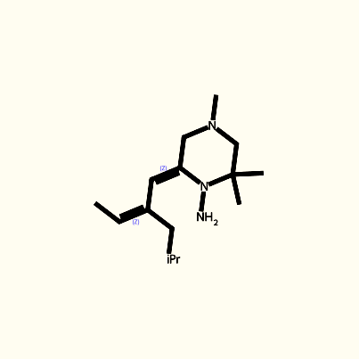 C/C=C(\C=C1\CN(C)CC(C)(C)N1N)CC(C)C